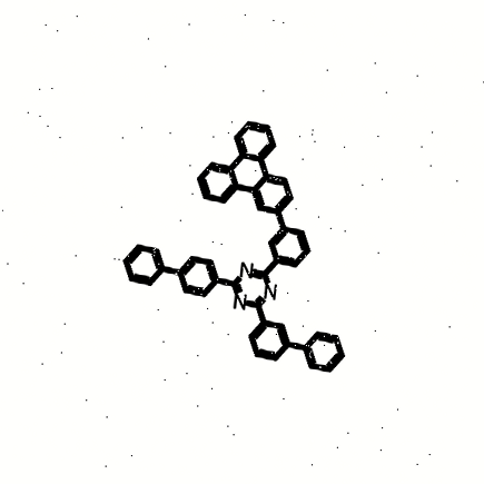 c1ccc(-c2ccc(-c3nc(-c4cccc(-c5ccccc5)c4)nc(-c4cccc(-c5ccc6c7ccccc7c7ccccc7c6c5)c4)n3)cc2)cc1